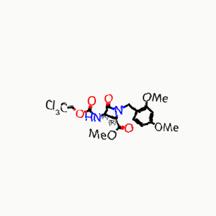 COC(=O)[C@H]1[C@@H](NC(=O)OCC(Cl)(Cl)Cl)C(=O)N1Cc1ccc(OC)cc1OC